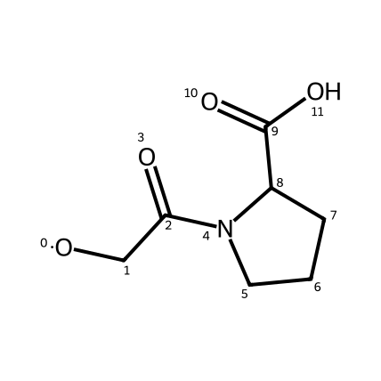 [O]CC(=O)N1CCCC1C(=O)O